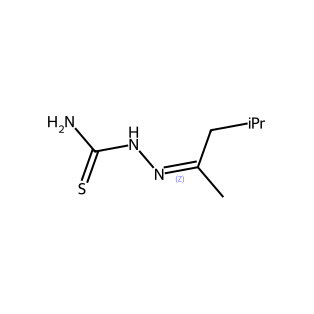 C/C(CC(C)C)=N/NC(N)=S